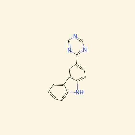 c1ccc2c(c1)[nH]c1ccc(-c3ncncn3)cc12